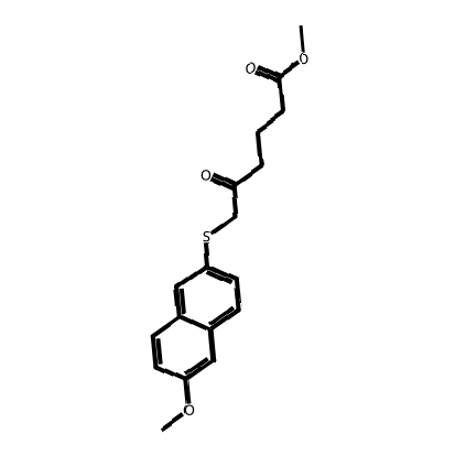 COC(=O)CCCC(=O)CSc1ccc2cc(OC)ccc2c1